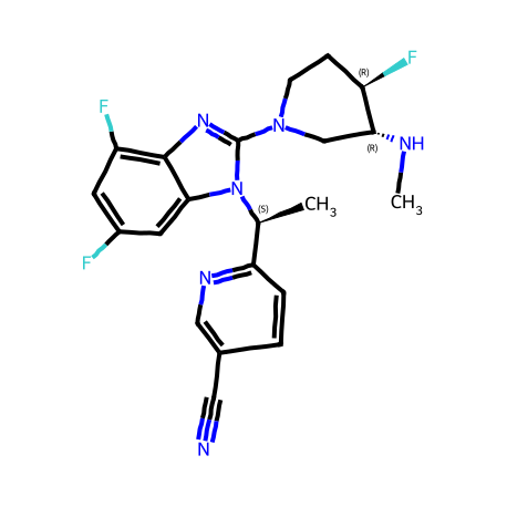 CN[C@@H]1CN(c2nc3c(F)cc(F)cc3n2[C@@H](C)c2ccc(C#N)cn2)CC[C@H]1F